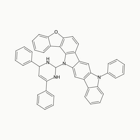 C1=C(c2ccccc2)NC(n2c3cc4c5ccccc5n(-c5ccccc5)c4cc3c3ccc4oc5ccccc5c4c32)NC1c1ccccc1